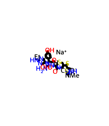 CCNc1ncc(N(C(N)=O)C(C(=O)NC2C(=O)N3C(C(=O)[O-])=C(C(=S)C4=CNN(NC)S4)CS[C@@H]23)c2ccc(O)cc2)c(O)n1.[Na+]